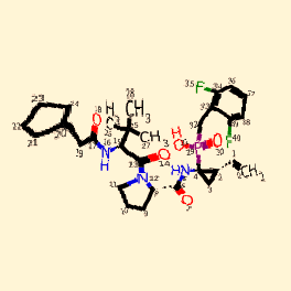 C=C[C@@H]1C[C@]1(NC(=O)[C@@H]1CCCN1C(=O)[C@@H](NC(=O)CC1CCCC1)C(C)(C)C)P(=O)(O)Cc1c(F)cccc1F